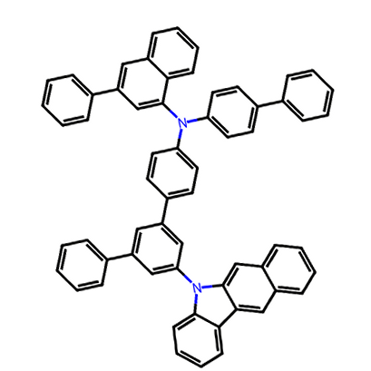 c1ccc(-c2ccc(N(c3ccc(-c4cc(-c5ccccc5)cc(-n5c6ccccc6c6cc7ccccc7cc65)c4)cc3)c3cc(-c4ccccc4)cc4ccccc34)cc2)cc1